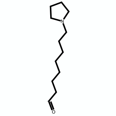 O=[C]CCCCCCCN1CCCC1